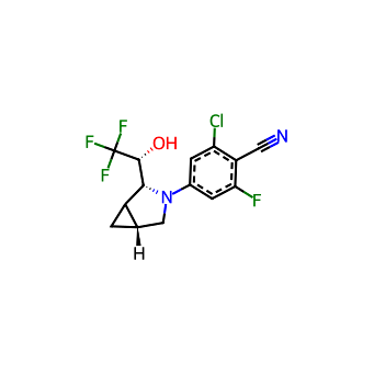 N#Cc1c(F)cc(N2C[C@@H]3CC3[C@@H]2[C@@H](O)C(F)(F)F)cc1Cl